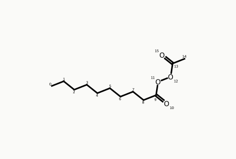 CCCCCCCCCC(=O)OOC(C)=O